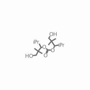 CC(C)C(OC(=O)OC(C(C)C)C(C)(C)CO)C(C)(C)CO